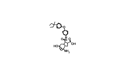 CCC(C)(CC)c1ccc(Oc2ccc(NC(=O)C3C(C(=O)O)CC(C(N)=O)C3CC(=O)O)cc2)cc1